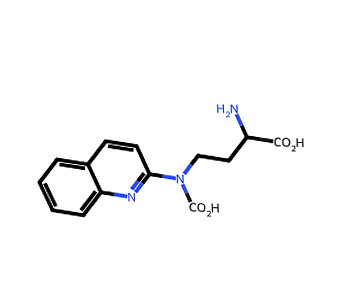 NC(CCN(C(=O)O)c1ccc2ccccc2n1)C(=O)O